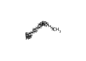 CCCCCCCC1CCC(C(F)(F)OC2CCC(/C=C/C3CCC(CCc4cc(F)c(C(F)(F)F)c(F)c4)CC3)CC2)OC1